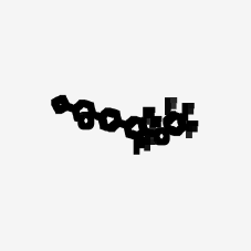 Fc1cc(OC(F)(F)c2c(F)cc(-c3ccc(C4CCC(C5CCC5)CO4)cc3)cc2F)cc(F)c1F